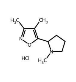 Cc1noc(C2CCCN2C)c1C.Cl